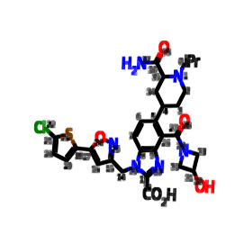 CC(C)N1CCC(c2ccc3c(nc(C(=O)O)n3Cc3cc(-c4ccc(Cl)s4)on3)c2C(=O)N2CC(O)C2)CC1C(N)=O